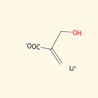 C=C(CO)C(=O)[O-].[Li+]